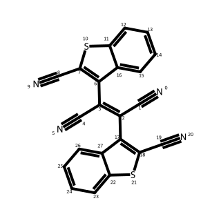 N#CC(=C(C#N)c1c(C#N)sc2ccccc12)c1c(C#N)sc2ccccc12